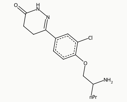 CCCC(N)COc1ccc(C2=NNC(=O)CC2)cc1Cl